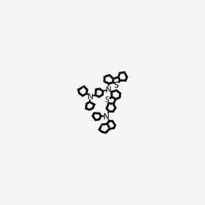 c1ccc(N(c2ccccc2)c2ccc(N(c3cccc4c3sc3ccccc34)c3cccc4c3sc3cc(N(c5ccccc5)c5cccc6ccccc56)ccc34)cc2)cc1